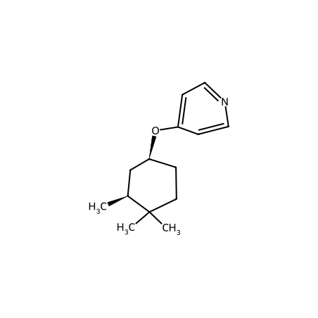 C[C@H]1C[C@@H](Oc2ccncc2)CCC1(C)C